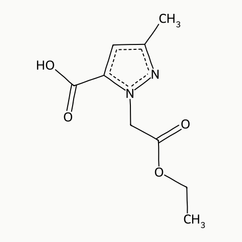 CCOC(=O)Cn1nc(C)cc1C(=O)O